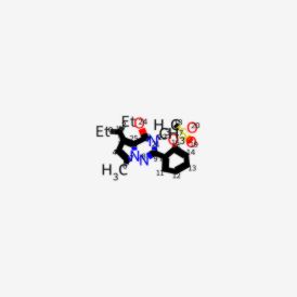 CCC(CC)c1cc(C)n2nc(-c3ccccc3OS(C)(=O)=O)n(C)c(=O)c12